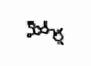 C[C@H]1CCN(Cc2cc3cc(Cl)c(CN)cc3[nH]2)[C@@H](C)C1